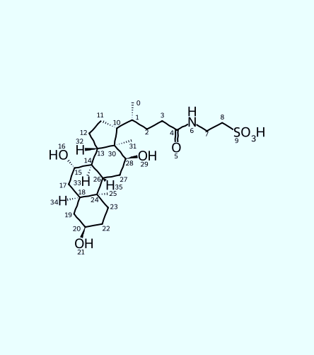 C[C@H](CCC(=O)NCCS(=O)(=O)O)[C@H]1CC[C@H]2[C@@H]3[C@@H](O)C[C@@H]4C[C@H](O)CC[C@]4(C)[C@H]3C[C@H](O)[C@]12C